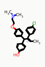 C/C=C(\c1ccc(Cl)cc1)C(c1ccc(O)cc1)c1ccc(OCCN(C)C)cc1